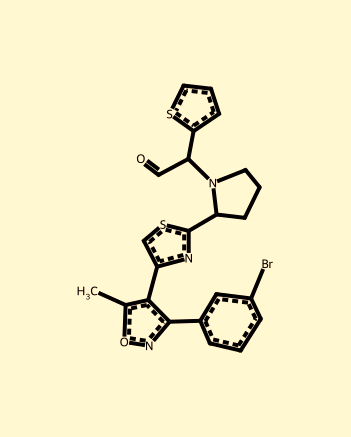 Cc1onc(-c2cccc(Br)c2)c1-c1csc(C2CCCN2C(C=O)c2cccs2)n1